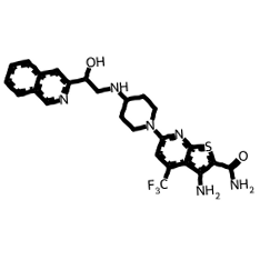 NC(=O)c1sc2nc(N3CCC(NCC(O)c4cc5ccccc5cn4)CC3)cc(C(F)(F)F)c2c1N